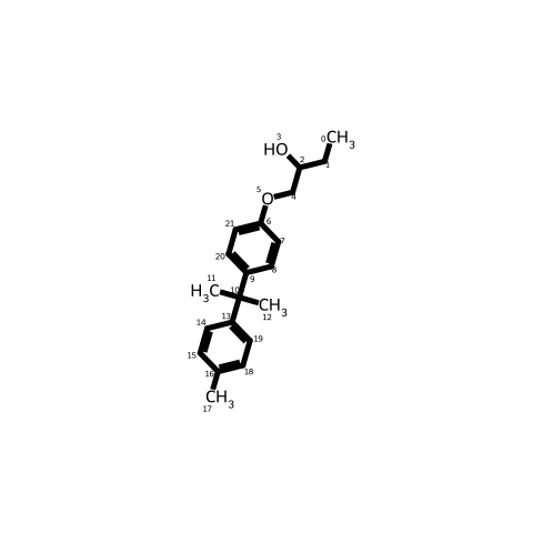 CCC(O)COc1ccc(C(C)(C)c2ccc(C)cc2)cc1